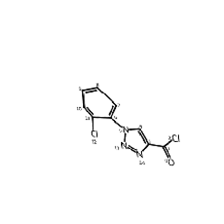 O=C(Cl)c1cn(-c2ccccc2Cl)nn1